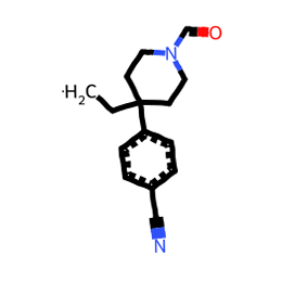 [CH2]CC1(c2ccc(C#N)cc2)CCN(C=O)CC1